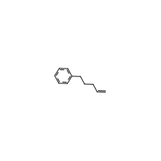 C=CCCCc1ccccc1